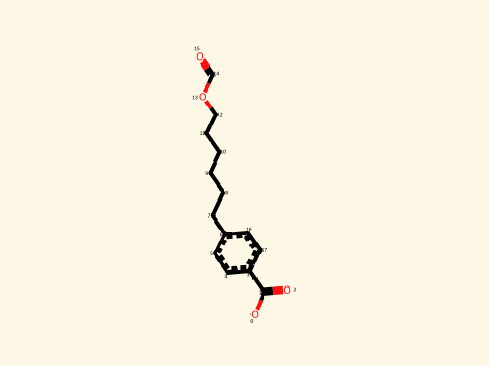 [O]C(=O)c1ccc(CCCCCCOC=O)cc1